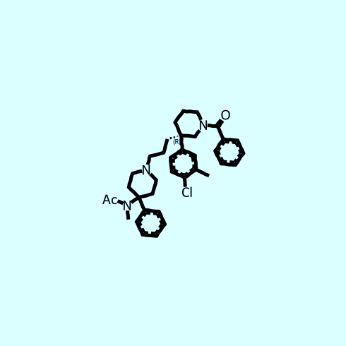 CC(=O)N(C)C1(c2ccccc2)CCN(CCC[C@]2(c3ccc(Cl)c(C)c3)CCCN(C(=O)c3ccccc3)C2)CC1